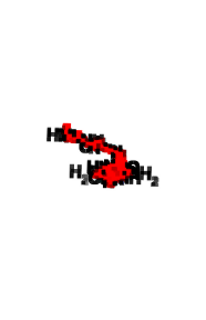 CC[C@@H]1CN(c2ccc(CCNC(=O)c3cnc4c(ccn4CCCCCCN4CCN(CCCOc5cc(C(N)=O)cc6[nH]/c(=N/C(=O)c7cc(C)nn7CC)n(C/C=C/Cn7/c(=N\C(=O)c8cc(C)nn8CC)[nH]c8cc(C(N)=O)cc(OC)c87)c56)CC4)c3)cc2)CCN1